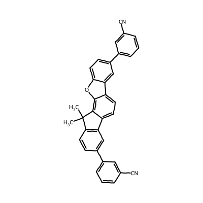 CC1(C)c2ccc(-c3cccc(C#N)c3)cc2-c2ccc3c(oc4ccc(-c5cccc(C#N)c5)cc43)c21